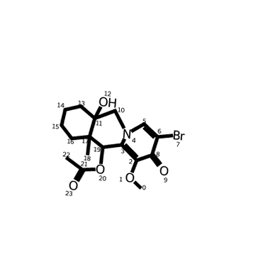 COc1c2n(cc(Br)c1=O)CC1(O)CCCCC1(C)C2OC(C)=O